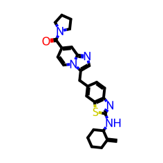 C=C1CCCCC1Nc1nc2ccc(Cc3cnc4cc(C(=O)N5CCCC5)ccn34)cc2s1